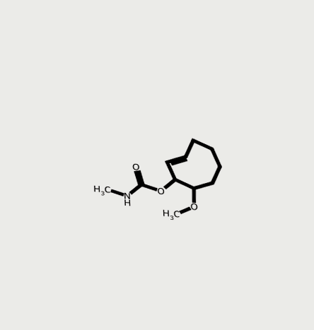 CNC(=O)OC1/C=C/CCCCC1OC